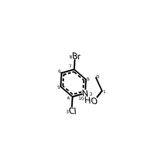 CCO.Clc1ccc(Br)cn1